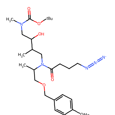 COc1ccc(COCC(C)N(CC(C)C(O)CN(C)C(=O)OC(C)(C)C)C(=O)CCCN=[N+]=[N-])cc1